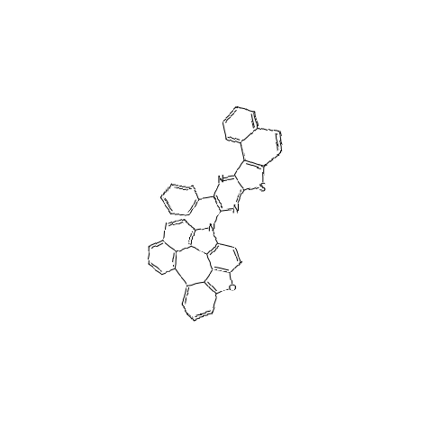 c1ccc(-c2nc3c(nc2-n2c4ccc5cccc6c5c4c4c5c(ccc42)oc2cccc-6c25)sc2ccc4ccccc4c23)cc1